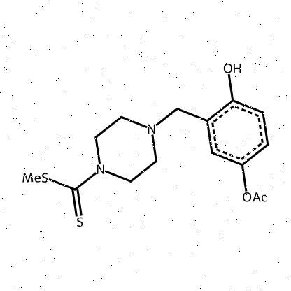 CSC(=S)N1CCN(Cc2cc(OC(C)=O)ccc2O)CC1